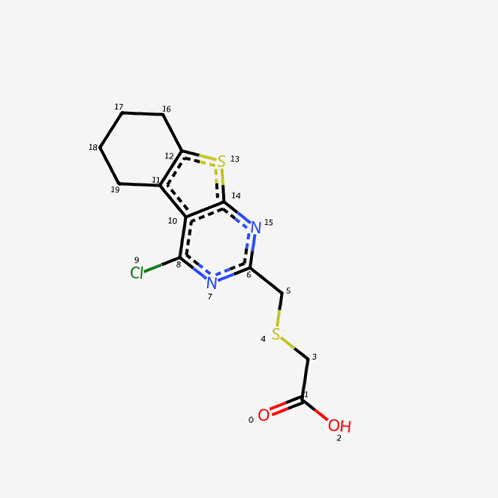 O=C(O)CSCc1nc(Cl)c2c3c(sc2n1)CCCC3